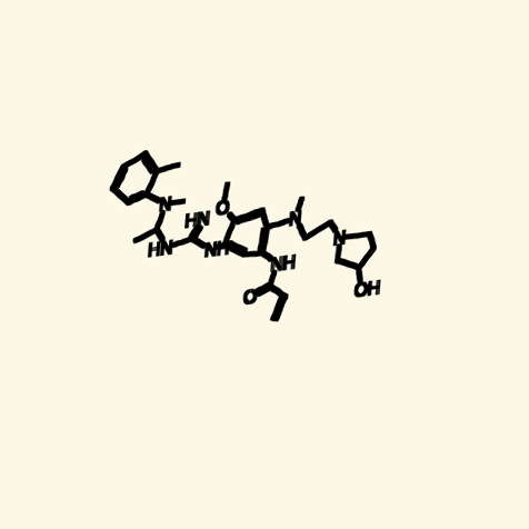 C=CC(=O)Nc1cc(NC(=N)NC(C)N(C)c2ccccc2C)c(OC)cc1N(C)CCN1CCC(O)C1